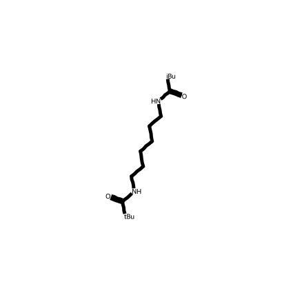 CCC(C)C(=O)NCCCCCCNC(=O)C(C)(C)C